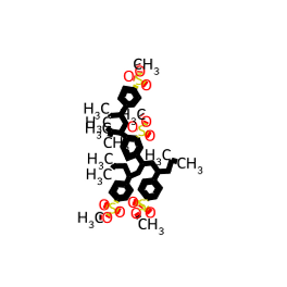 COS(=O)(=O)c1ccc(C(CC(C)C)CC(CC(CC(C)C)c2ccc(S(=O)(=O)OC)cc2)c2ccc(C(CC(c3ccc(S(=O)(=O)OC)cc3)C(C)C)C(C)C)c(S(=O)(=O)OC)c2)cc1